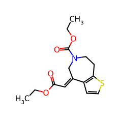 CCOC(=O)C=C1CN(C(=O)OCC)CCc2sccc21